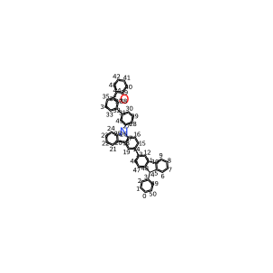 c1ccc(C2c3ccccc3-c3cc(-c4ccc5c(c4)c4ccccc4n5-c4cccc(-c5cccc6c5oc5ccccc56)c4)ccc32)cc1